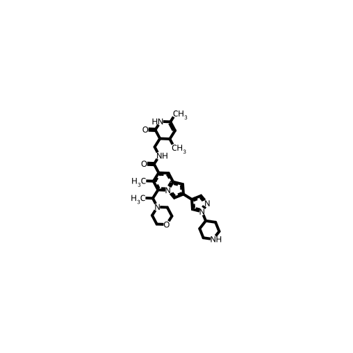 CC1=CC(C)C(CNC(=O)c2cc3cc(-c4cnn(C5CCNCC5)c4)cn3c(C(C)N3CCOCC3)c2C)C(=O)N1